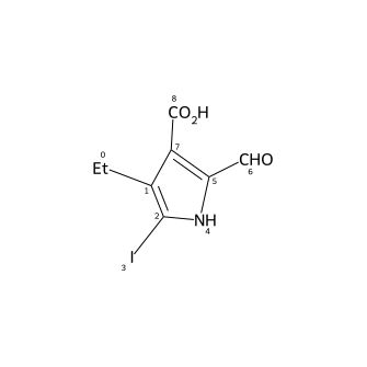 CCc1c(I)[nH]c(C=O)c1C(=O)O